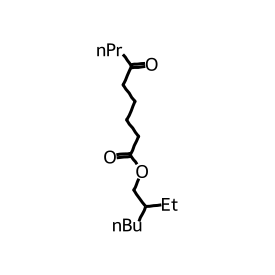 CCCCC(CC)COC(=O)CCCCC(=O)CCC